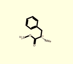 CN[C@@H](Cc1ccccc1)C(=O)O[SiH3]